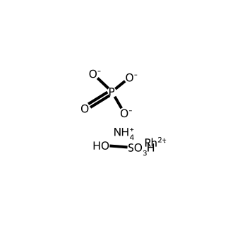 O=P([O-])([O-])[O-].O=S(=O)(O)O.[NH4+].[Rh+2]